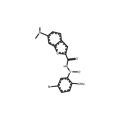 COc1ccc(Br)cc1[S+]([O-])NC(=O)c1cc2ccc(N(C)C)cc2o1